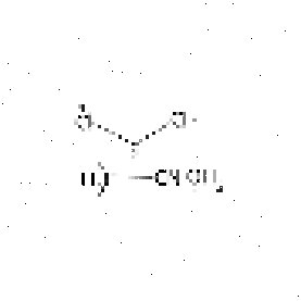 CC#N.ClCCl.O